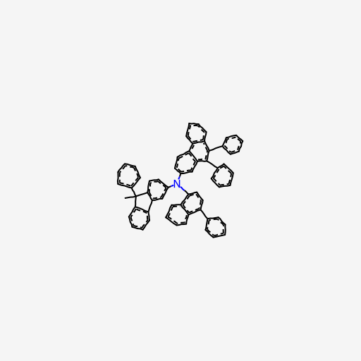 CC1(c2ccccc2)c2ccccc2-c2cc(N(c3ccc4c(c3)c(-c3ccccc3)c(-c3ccccc3)c3ccccc34)c3ccc(-c4ccccc4)c4ccccc34)ccc21